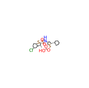 Cc1c(S(=O)(=O)Nc2cc(-c3ccccc3)sc2OC(=O)O)sc2ccc(Cl)cc12